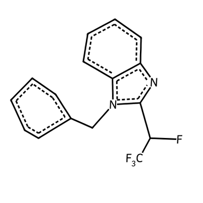 FC(c1nc2ccccc2n1Cc1ccccc1)C(F)(F)F